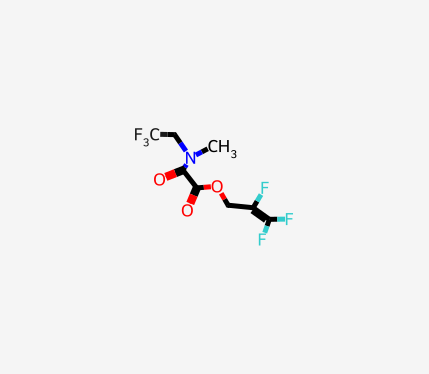 CN(CC(F)(F)F)C(=O)C(=O)OCC(F)=C(F)F